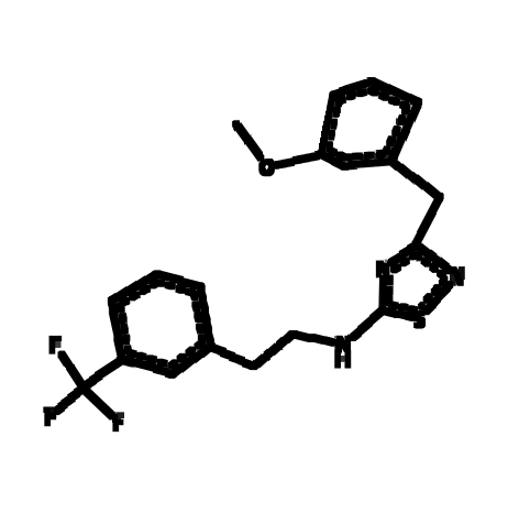 COc1cccc(Cc2nsc(NCCc3cccc(C(F)(F)F)c3)n2)c1